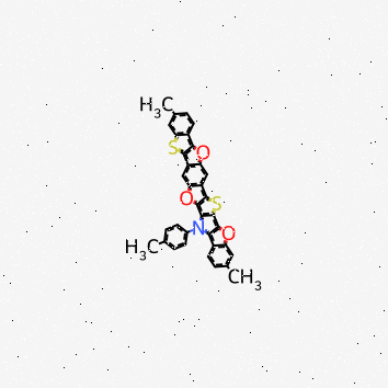 Cc1ccc(-n2c3c4ccc(C)cc4oc3c3sc4c5cc6oc7c8ccc(C)cc8sc7c6cc5oc4c32)cc1